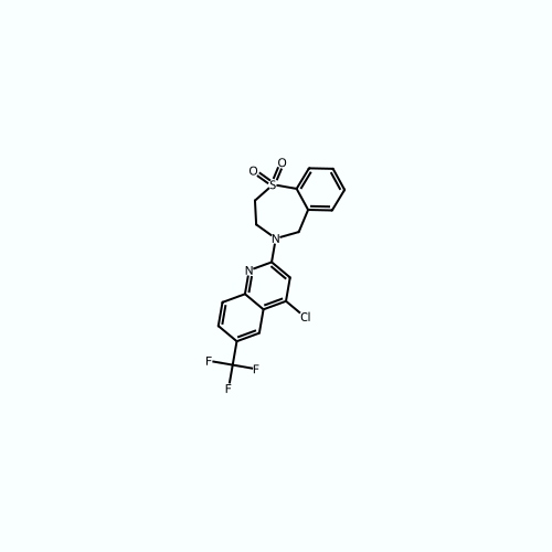 O=S1(=O)CCN(c2cc(Cl)c3cc(C(F)(F)F)ccc3n2)Cc2ccccc21